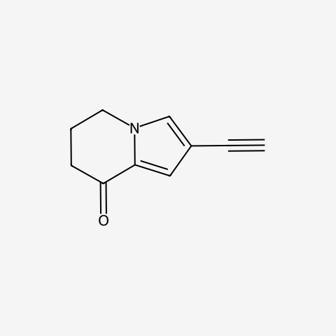 C#Cc1cc2n(c1)CCCC2=O